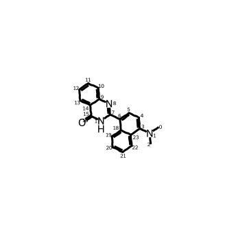 CN(C)c1ccc(-c2nc3ccccc3c(=O)[nH]2)c2ccccc12